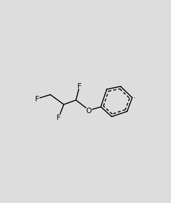 FCC(F)C(F)Oc1cc[c]cc1